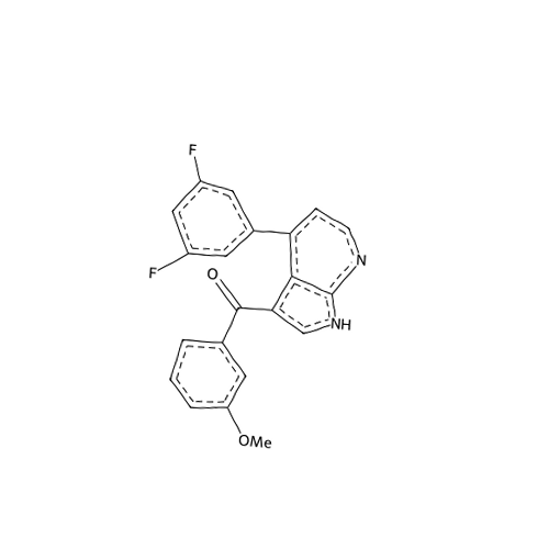 COc1cccc(C(=O)c2c[nH]c3nccc(-c4cc(F)cc(F)c4)c23)c1